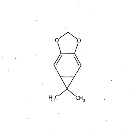 CC1(C)C2C=C3OCOC3=CC21